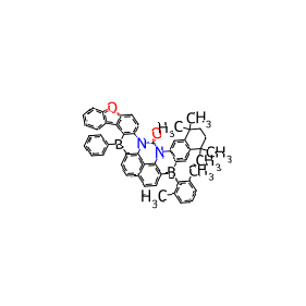 Cc1cccc(C)c1B1c2cc3c(cc2N2C(=O)N4c5ccc6oc7ccccc7c6c5B(c5ccccc5)c5ccc6ccc1c2c6c54)C(C)(C)CCC3(C)C